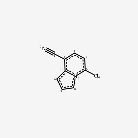 N#Cc1ccc(Cl)n2cccc12